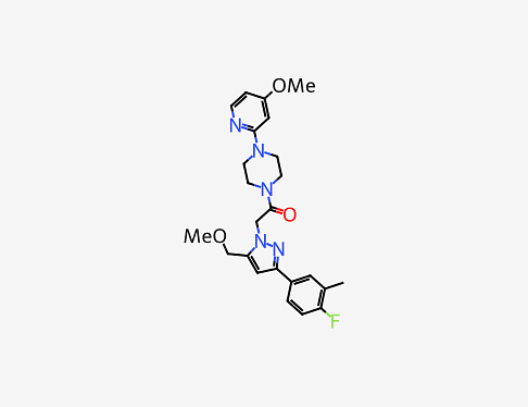 COCc1cc(-c2ccc(F)c(C)c2)nn1CC(=O)N1CCN(c2cc(OC)ccn2)CC1